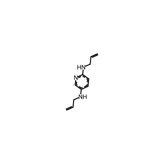 C=CCNc1[c]nc(NCC=C)cc1